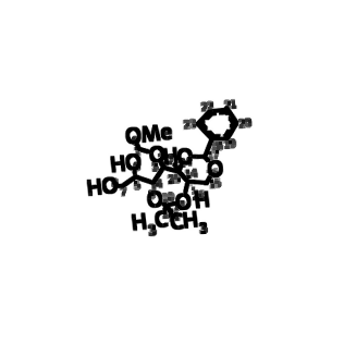 COCOC1[C@@H]([C@H](O)CO)OC(C)(C)O[C@@H]2COC(c3ccccc3)O[C@@H]12